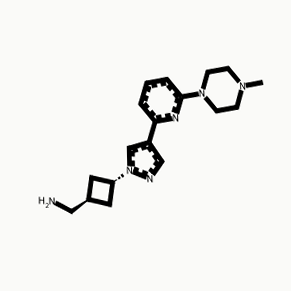 CN1CCN(c2cccc(-c3cnn([C@H]4C[C@H](CN)C4)c3)n2)CC1